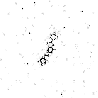 CCCC1CCC(C(=O)Oc2ccc(CCc3ccc(F)cc3)nc2)CC1